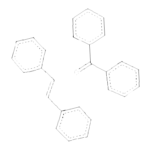 C(=Cc1ccccc1)c1ccccc1.O=C(c1ccccc1)c1ccccc1